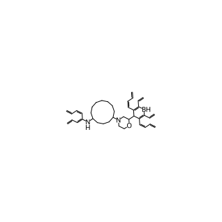 C=C/C=C\C1=C(C=C)BC(C=C)=C(/C=C\C=C)C1C1CN(C2CCCCCCCC(NC(/C=C\C=C)=C/C=C)CCC2)CCO1